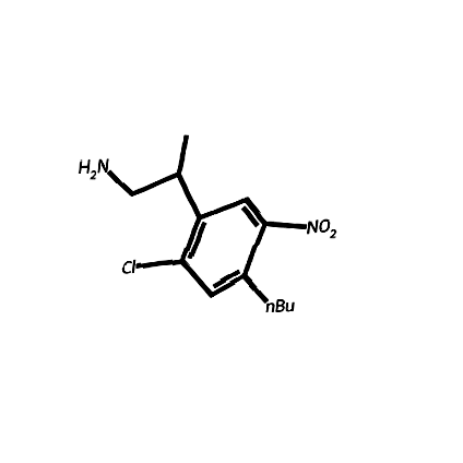 CCCCc1cc(Cl)c(C(C)CN)cc1[N+](=O)[O-]